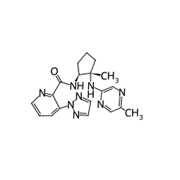 Cc1cnc(N[C@@]2(C)CCC[C@@H]2NC(=O)c2ncccc2-n2nccn2)cn1